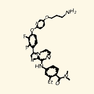 CCc1cc(Nc2nccn3c(-c4ccc(Oc5ccc(OCCCN)cn5)c(F)c4F)cnc23)ccc1C(=O)N(C)C